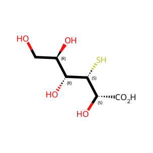 O=C(O)[C@H](O)[C@@H](S)[C@H](O)[C@H](O)CO